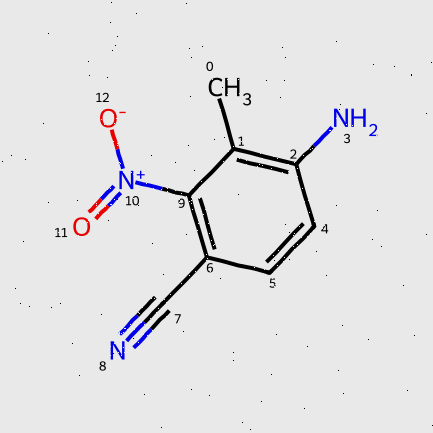 Cc1c(N)ccc(C#N)c1[N+](=O)[O-]